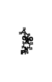 CC(C)N1CCN(S(=O)(=O)CC2CC2)CC1